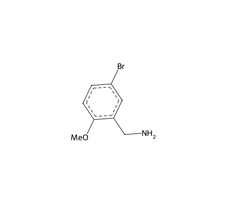 COc1ccc(Br)cc1CN